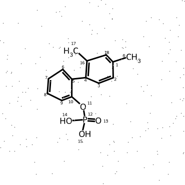 Cc1ccc(-c2ccccc2OP(=O)(O)O)c(C)c1